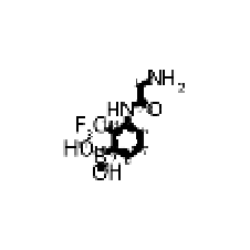 NCC(=O)Nc1cccc(B(O)O)c1C(F)(F)F